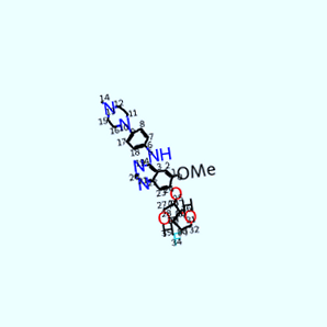 COc1cc2c(Nc3ccc(N4CCN(C)CC4)cc3)ncnc2cc1O[C@@H]1CO[C@@H]2[C@H]1OC[C@H]2F